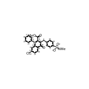 CNS(=O)(=O)c1ccc(Cc2c(C(=O)OC)n(-c3ccccc3)c3cc(Cl)ccc3c2=O)cc1